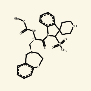 CC(C)(C)OC(=O)N[C@@H](C[C@H]1CCOc2ccccc2C1)C(=O)N1c2ccccc2C2(CCNCC2)C1S(C)(=O)=O